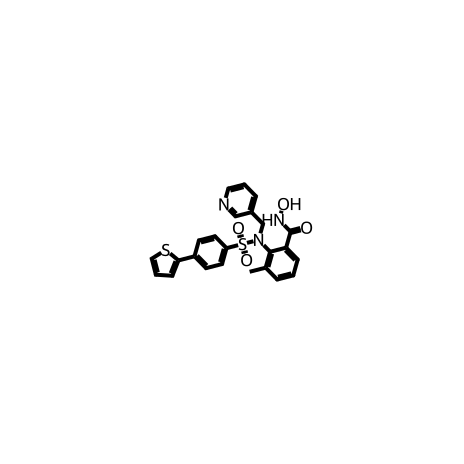 Cc1cccc(C(=O)NO)c1N(Cc1cccnc1)S(=O)(=O)c1ccc(-c2cccs2)cc1